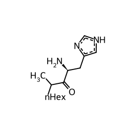 CCCCCCC(C)C(=O)[C@@H](N)Cc1c[nH]cn1